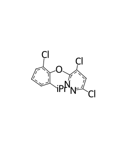 CC(C)c1cccc(Cl)c1Oc1nnc(Cl)cc1Cl